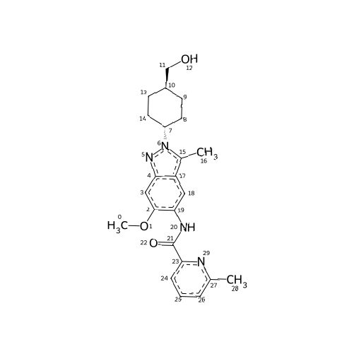 COc1cc2nn([C@H]3CC[C@H](CO)CC3)c(C)c2cc1NC(=O)c1cccc(C)n1